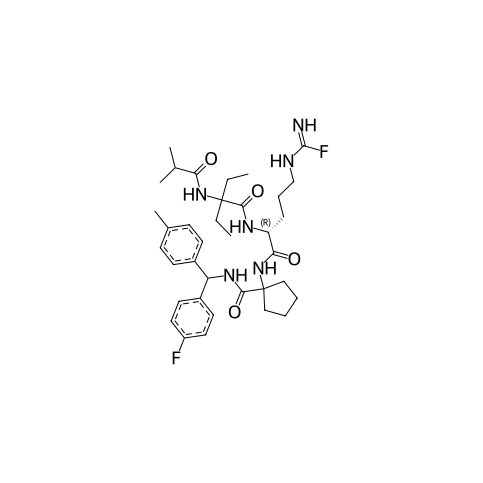 CCC(CC)(NC(=O)C(C)C)C(=O)N[C@H](CCCNC(=N)F)C(=O)NC1(C(=O)NC(c2ccc(C)cc2)c2ccc(F)cc2)CCCC1